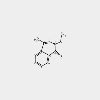 CCn1nc(C)c2ccccc2c1=O